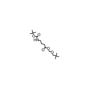 CC(C)(C)COCOC(=O)CCCNC(=O)OC(C)(C)C